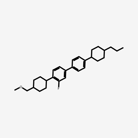 CCCC1CCC(c2ccc(-c3ccc(C4CCC(COC)CC4)c(F)c3)cc2)CC1